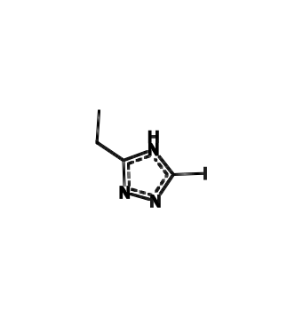 CCc1nnc(I)[nH]1